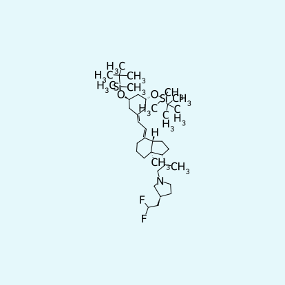 CC(CN1CC[C@@H](CC(F)F)C1)[C@H]1CC[C@H]2/C(=C/C=C3C[C@@H](O[Si](C)(C)C(C)(C)C)C[C@H](O[Si](C)(C)C(C)(C)C)C3)CCC[C@]12C